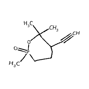 C#CC1CCP(C)(=O)OC1(C)C